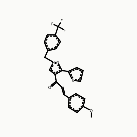 COc1ccc(C=CC(=O)c2cn(Cc3ccc(C(F)(F)F)cc3)nc2-c2cccs2)cc1